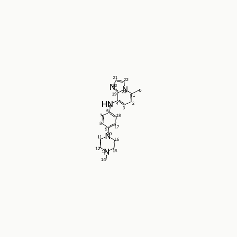 Cc1ccc(Nc2ccc(N3CCN(C)CC3)cc2)c2nccn12